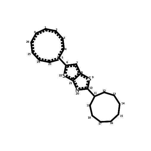 c1ccccc(-c2cc3sc(C4CCCCCCCC4)nc3s2)cccc1